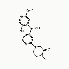 COc1cc(C(=N)c2ccnc(N3CCN(C)C(=O)C3)c2)c(N)cn1